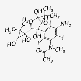 CC(=O)N(C)c1c(I)c(N)c(I)c([C@@]2(O)[C@@H]([C@]3(O)C(O)C3(C)C)OC3(O)C(C)(C)[C@]32O)c1I